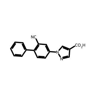 N#Cc1cc(-n2cc(C(=O)O)cn2)ccc1-c1ccccc1